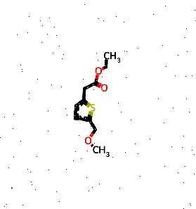 CCOC(=O)Cc1ccc(COC)s1